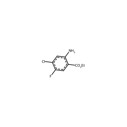 CCOC(=O)c1cc(F)c(Cl)cc1N